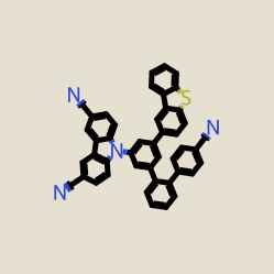 N#Cc1ccc(-c2ccccc2-c2cc(-c3ccc4sc5ccccc5c4c3)cc(-n3c4ccc(C#N)cc4c4cc(C#N)ccc43)c2)cc1